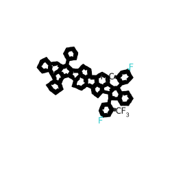 Fc1ccc(-c2c3c(c(-c4ccc(F)cc4C(F)(F)F)c4ccccc24)-c2ccc4c5ccc6c7c(ccc(c8ccc-3c2c84)c57)c2c(-c3ccccc3)c3cc4ccccc4c4c5ccccc5c(c62)c34)c(C(F)(F)F)c1